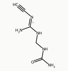 C#C/N=C(\N)NCNC(N)=O